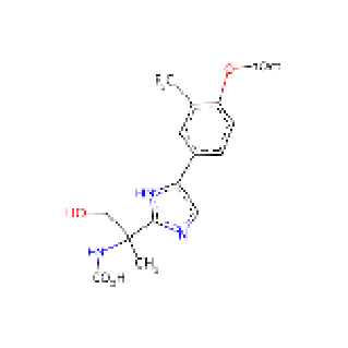 CCCCCCCCOc1ccc(-c2cnc(C(C)(CO)NC(=O)O)[nH]2)cc1C(F)(F)F